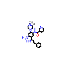 CN1CCN(c2cc(N)c(C(=N)/C=C/c3ccccc3)cc2NC(=O)c2cccnc2)CC1